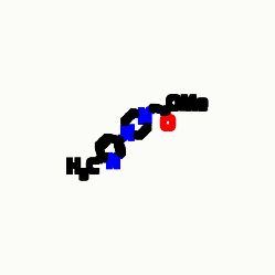 COC(=O)CN1CCN(c2ccc(C)nc2)CC1